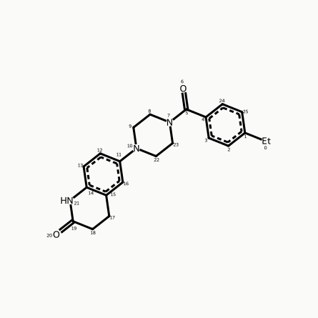 CCc1ccc(C(=O)N2CCN(c3ccc4c(c3)CCC(=O)N4)CC2)cc1